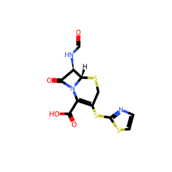 O=CN[C@@H]1C(=O)N2C(C(=O)O)=C(Sc3nccs3)CS[C@@H]12